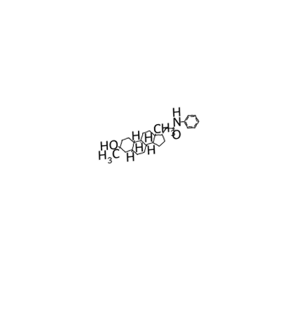 C[C@@]1(O)CC[C@H]2[C@H](CC[C@@H]3[C@@H]2CC[C@]2(C)[C@@H](CC(=O)Nc4ccccc4)CC[C@@H]32)C1